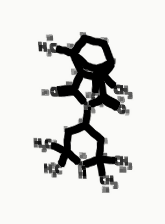 CC1(C)CC(N2C(=O)C3C4CCC(C)(CC4(C)C)C3C2=O)CC(C)(C)N1